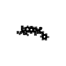 CC(C)(C)C1CCc2nc3cc(C(=O)NCc4ccccc4)[nH]c3cc2C1